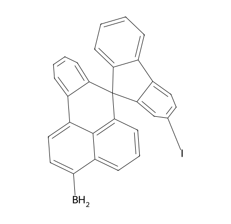 Bc1ccc2c3c(cccc13)C1(c3ccccc3-c3ccc(I)cc31)c1ccccc1-2